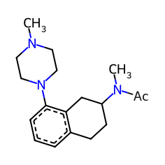 CC(=O)N(C)C1CCc2cccc(N3CCN(C)CC3)c2C1